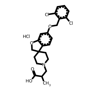 CC(CN1CCC2(CC1)COc1cc(OCc3c(Cl)cccc3Cl)ccc12)C(=O)O.Cl